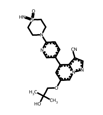 CC(C)(O)COc1cc(-c2ccc(N3CCS(=N)(=O)CC3)nc2)c2c(C#N)cnn2c1